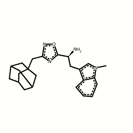 Cn1cc(C[C@H](N)c2nc(CC34CC5CC(CC(C5)C3)C4)no2)c2ccccc21